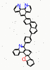 c1cnc2c(c1)cc(-c1ccc3c(ccc4ccc(-c5ccc(-c6nc7ccccc7c7c6ccc6c8ccccc8oc67)cc5)cc43)c1)c1cccnc12